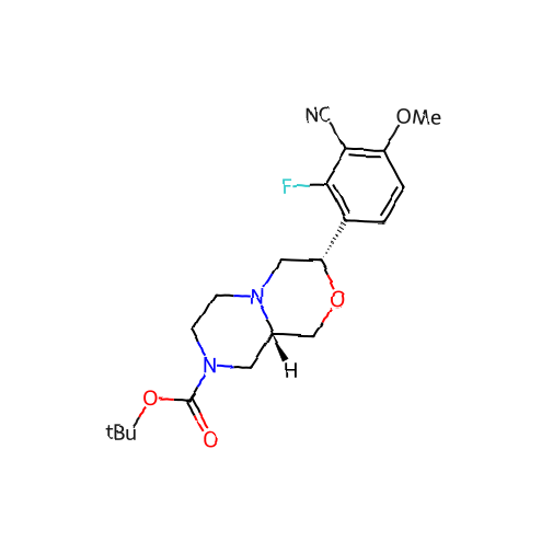 COc1ccc([C@H]2CN3CCN(C(=O)OC(C)(C)C)C[C@H]3CO2)c(F)c1C#N